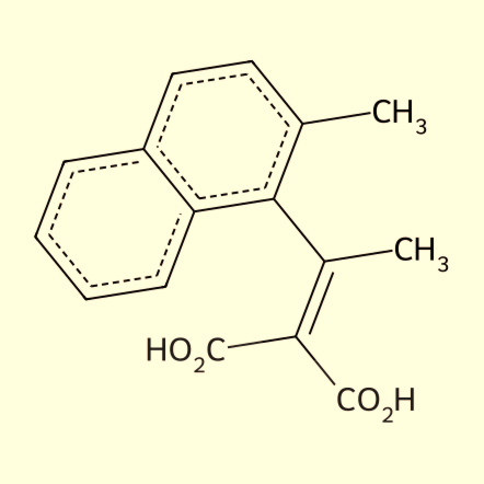 CC(=C(C(=O)O)C(=O)O)c1c(C)ccc2ccccc12